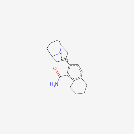 CN1C2CCCC1CC(c1ccc3c(c1C(N)=O)CCCC3)C2